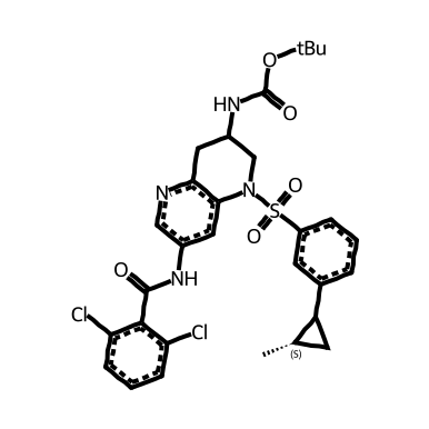 C[C@H]1CC1c1cccc(S(=O)(=O)N2CC(NC(=O)OC(C)(C)C)Cc3ncc(NC(=O)c4c(Cl)cccc4Cl)cc32)c1